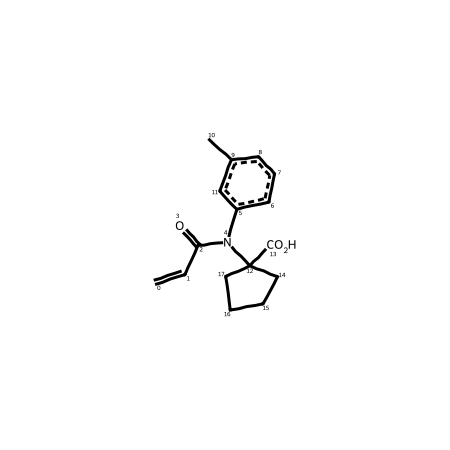 C=CC(=O)N(c1cccc(C)c1)C1(C(=O)O)CCCC1